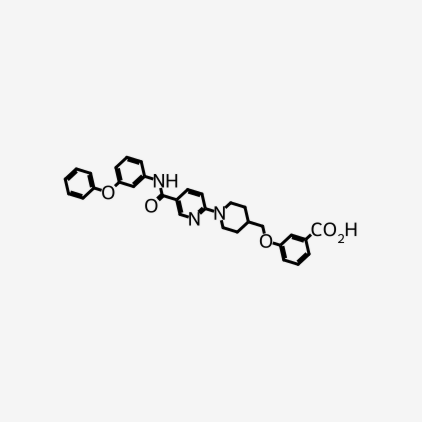 O=C(O)c1cccc(OCC2CCN(c3ccc(C(=O)Nc4cccc(Oc5ccccc5)c4)cn3)CC2)c1